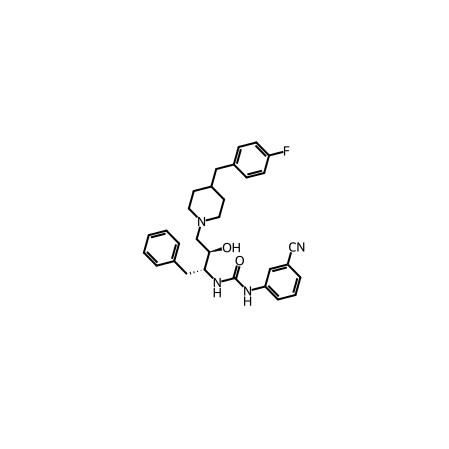 N#Cc1cccc(NC(=O)N[C@H](Cc2ccccc2)[C@H](O)CN2CCC(Cc3ccc(F)cc3)CC2)c1